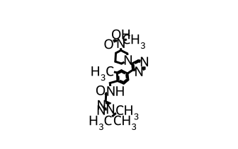 Cc1cc(-c2ncncc2N2CCCC(N(C)C(=O)O)C2)ccc1CNC(=O)c1cn(C(C)(C)C)nn1